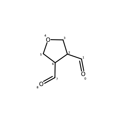 O=CC1COCC1C=O